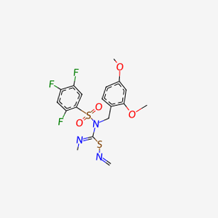 C=NS/C(=N\C)N(Cc1ccc(OC)cc1OC)S(=O)(=O)c1cc(F)c(F)cc1F